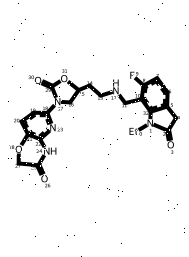 CCN1C(=O)Cc2ccc(F)c(CNCCC3CN(c4ccc5c(n4)NC(=O)CO5)C(=O)O3)c21